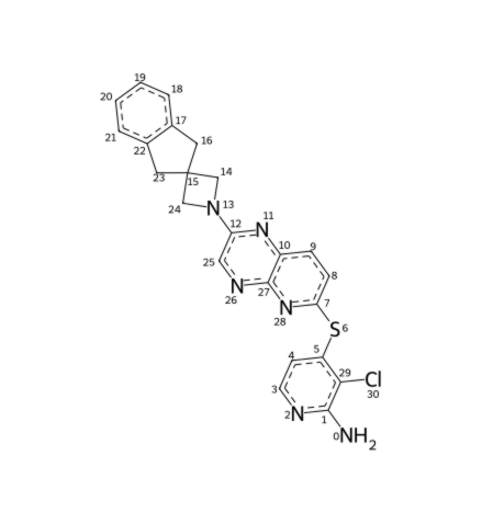 Nc1nccc(Sc2ccc3nc(N4CC5(Cc6ccccc6C5)C4)cnc3n2)c1Cl